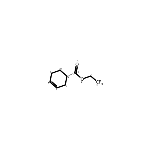 O=C(OCC(F)(F)F)[C@@H]1CC=CCC1